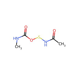 CNC(=O)OSNC(C)=O